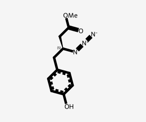 COC(=O)C[C@H](Cc1ccc(O)cc1)N=[N+]=[N-]